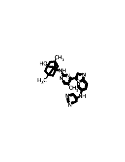 Cc1cnc(NC23CC4(O)C[C@@](C)(C2)C[C@](C)(C4)C3)nc1-c1cnc2ccc(Nc3cncnc3)cn12